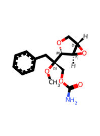 CO[C@](COC(N)=O)(Cc1ccccc1)[C@@H]1OC[C@@H]2O[C@H]21